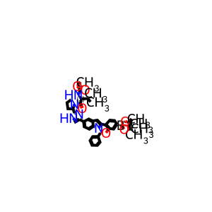 COC(=O)N[C@H](C(=O)N1CCCC1c1nc(-c2ccc3c(c2)cc2n3C(c3ccccc3)Oc3cc(B4OC(C)(C)C(C)(C)O4)ccc3-2)c[nH]1)C(C)C